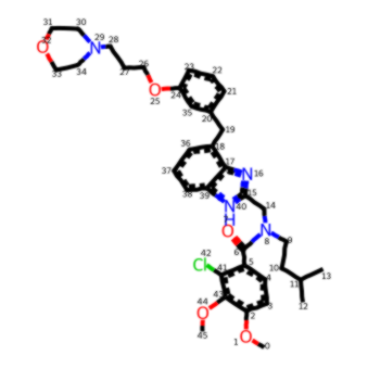 COc1ccc(C(=O)N(CCC(C)C)Cc2nc3c(Cc4cccc(OCCCN5CCOCC5)c4)cccc3[nH]2)c(Cl)c1OC